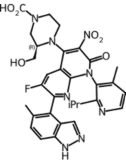 Cc1ccnc(C(C)C)c1-n1c(=O)c([N+](=O)[O-])c(N2CCN(C(=O)O)C[C@@H]2CO)c2cc(F)c(-c3c(C)ccc4[nH]ncc34)nc21